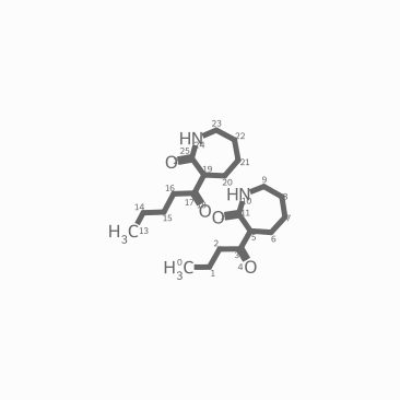 CCCC(=O)C1CCCCNC1=O.CCCCC(=O)C1CCCCNC1=O